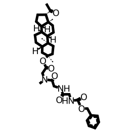 CC(=O)[C@H]1CC[C@H]2[C@@H]3CC[C@H]4C[C@](C)(OC(=O)CN(C)C(=O)CNC(=O)CNC(=O)OCc5ccccc5)CC[C@]4(C)[C@H]3CC[C@]12C